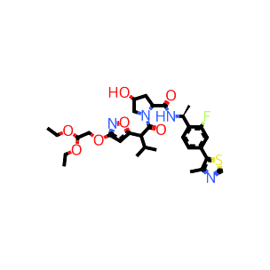 CCOC(COc1cc(C(C(=O)N2CC(O)CC2C(=O)N[C@@H](C)c2ccc(-c3scnc3C)cc2F)C(C)C)on1)OCC